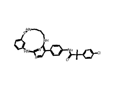 CC(C)(C(=O)Nc1ccc(-c2cnc3nc2NCCCNSc2cccc(c2)N3)cc1)c1ccc(Cl)cc1